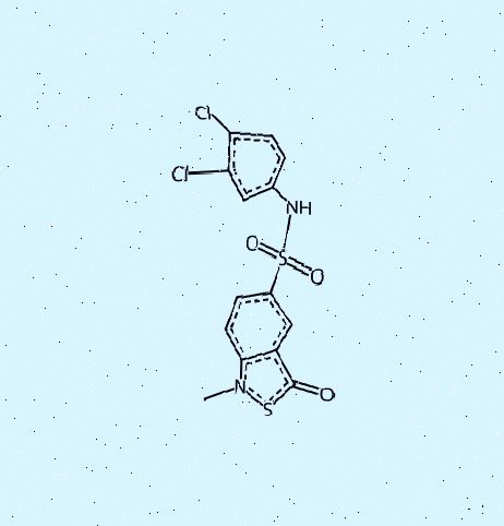 Cn1sc(=O)c2cc(S(=O)(=O)Nc3ccc(Cl)c(Cl)c3)ccc21